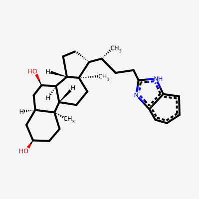 C[C@H](CCc1nc2ccccc2[nH]1)[C@H]1CC[C@H]2[C@@H]3[C@H](O)C[C@@H]4C[C@H](O)CC[C@]4(C)[C@H]3CC[C@]12C